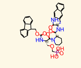 NC(=O)[C@H](Cc1ccc2ccccc2c1)NC(=O)[C@@H]1CCCCN1C(=O)[C@H](COCP(=O)(O)O)NC(=O)OCC1c2ccccc2-c2ccccc21